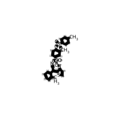 Cc1ccc(S(=O)(=O)Oc2ccc(S(=O)(=O)O/N=C3/C=CS/C3=C(/C#N)c3ccccc3C)cc2C)cc1